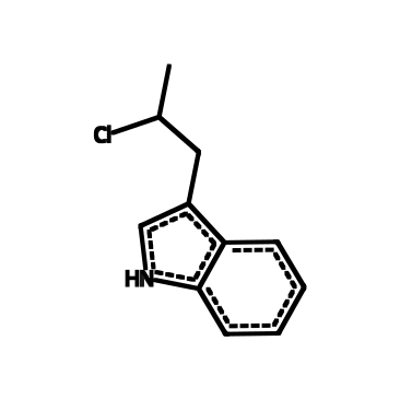 CC(Cl)Cc1c[nH]c2ccccc12